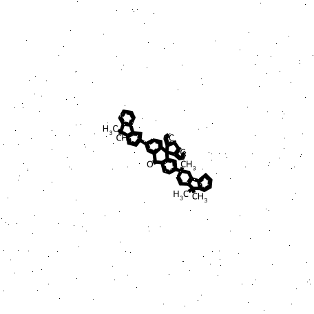 CC1(c2ccc3c(c2)C2(c4ccc(-c5ccc6c(c5)-c5ccccc5C6(C)C)cc4C3=O)c3ccccc3-c3ccccc32)C=CC2=C(C1)c1ccccc1C2(C)C